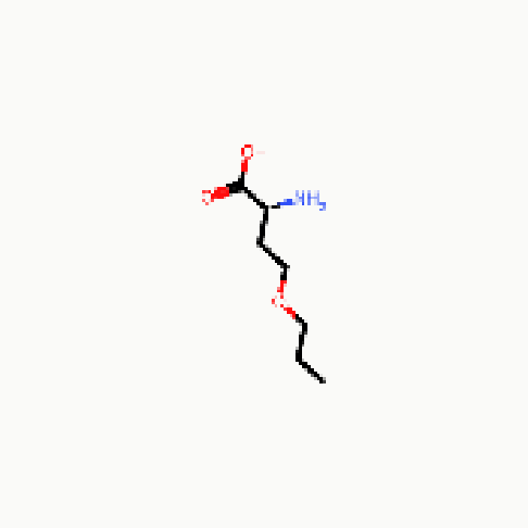 CCCOCC[C@H](N)C(=O)O